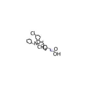 Cc1c(Sc2cccc(/C=C/C(=O)O)c2)c2ccc(Cl)cc2n1Cc1ccccc1